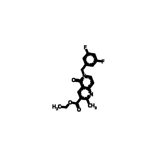 CCOC(=O)c1cc2c(=O)n(Cc3cc(F)cc(F)c3)ccc2nc1C